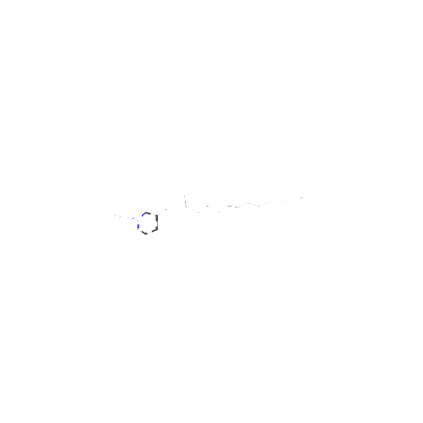 CCCCCCCCCCCCCCCCCCCC(CO)OCc1ccc[n+](C#N)c1